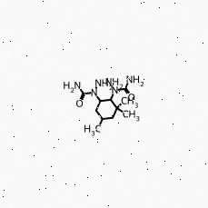 CC1CC(N(N)C(N)=O)C(N(N)C(N)=O)C(C)(C)C1